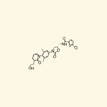 Cc1cc(N2C[C@H](CNC(=O)c3ccc(Cl)s3)OC2=O)cc(C)c1-n1cccc(CCO)c1=O